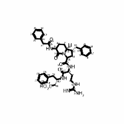 N=C(N)NCC[C@H](NC(=O)C1C[C@@H](Cc2ccccc2)[C@@H]2CCC(NC(=O)Cc3ccccc3)C(=O)N12)C(=O)N[C@H](CC(=O)O)Cc1ccccc1